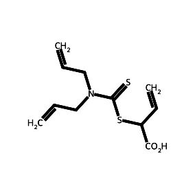 C=CCN(CC=C)C(=S)SC(C=C)C(=O)O